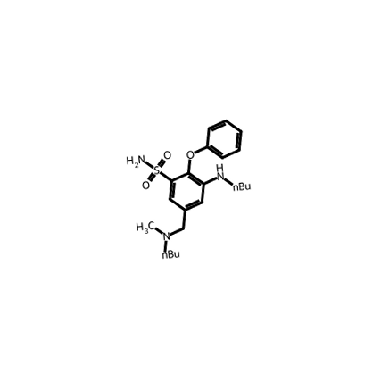 CCCCNc1cc(CN(C)CCCC)cc(S(N)(=O)=O)c1Oc1ccccc1